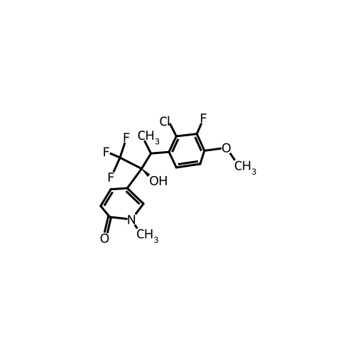 COc1ccc(C(C)[C@](O)(c2ccc(=O)n(C)c2)C(F)(F)F)c(Cl)c1F